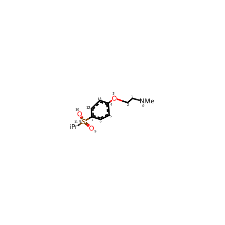 CNCCOc1ccc(S(=O)(=O)C(C)C)cc1